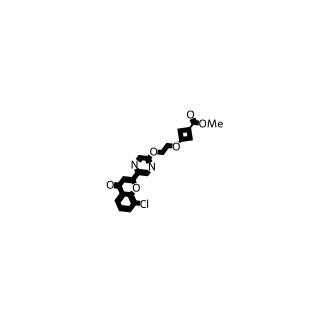 COC(=O)[C@H]1C[C@@H](OCCOc2cnc(-c3cc(=O)c4cccc(Cl)c4o3)cn2)C1